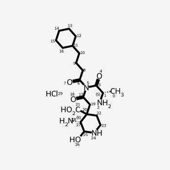 C[C@H](N)C(=O)N(C(=O)CCCC1CCCCC1)C(=O)CC1(C(=O)O)CCNC(O)[C@@H]1N.Cl